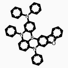 c1ccc(N(c2ccccc2)c2ccc3c(c2)N(c2ccccc2)c2cccc4c2B3c2cc3c(cc2N4c2ccccc2)oc2ccccc23)cc1